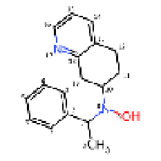 CC(c1ccccc1)N(O)C1CCc2cccnc2C1